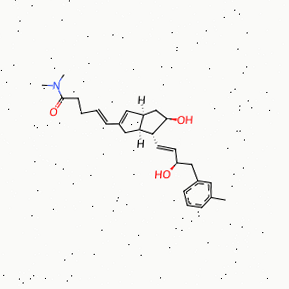 Cc1cccc(C[C@@H](O)/C=C/[C@@H]2[C@H]3CC(/C=C/CCC(=O)N(C)C)=C[C@H]3C[C@H]2O)c1